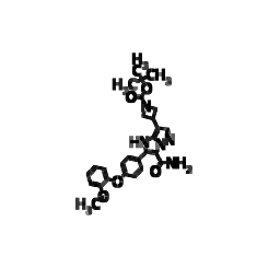 COc1ccccc1Oc1ccc(-c2[nH]c3c(C4CN(C(=O)OC(C)(C)C)C4)cnn3c2C(N)=O)cc1